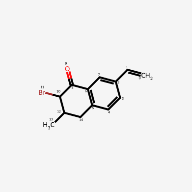 C=Cc1ccc2c(c1)C(=O)C(Br)C(C)C2